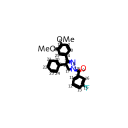 COc1ccc(C2=NN(C(=O)c3cccc(F)c3)CC2c2ccccc2)cc1OC